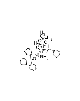 CC1(C)O[C@H]2O[C@H]([C@H](N)COC(c3ccccc3)(c3ccccc3)c3ccccc3)[C@H](OCc3ccccc3)[C@H]2O1